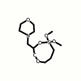 CO[Si]1(OC)CCCOCC(CN2CCOCC2)O1